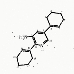 Nc1cc(C2=CCCCC2)cnc1C1=CCCCC1